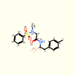 B[C@H](Cc1ccc(C)cc1)NC(=O)CN(CC)S(=O)(=O)c1ccccc1